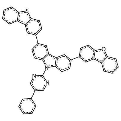 c1ccc(-c2cnc(-n3c4ccc(-c5ccc6oc7ccccc7c6c5)cc4c4cc(-c5ccc6sc7ccccc7c6c5)ccc43)nc2)cc1